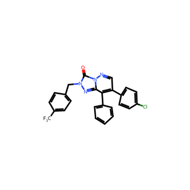 O=c1n(Cc2ccc(C(F)(F)F)cc2)nc2c(-c3ccccc3)c(-c3ccc(Cl)cc3)cnn12